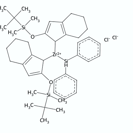 CC(C)(C)[Si](C)(C)OC1=CC2=C(CCCC2)[CH]1[Zr+2]([CH]1C(O[Si](C)(C)C(C)(C)C)=CC2=C1CCCC2)[SiH](c1ccccc1)c1ccccc1.[Cl-].[Cl-]